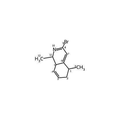 CC1CC=CC2C1=CC(Br)=NC2C